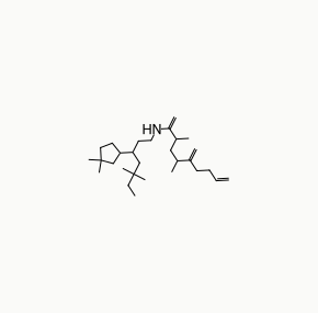 C=CCCC(=C)C(C)CC(C)C(=C)NCCC(CC(C)(C)CC)C1CCC(C)(C)C1